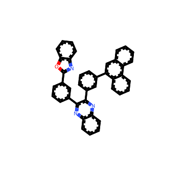 c1cc(-c2nc3ccccc3o2)cc(-c2nc3ccccc3nc2-c2cccc(-c3cc4ccccc4c4ccccc34)c2)c1